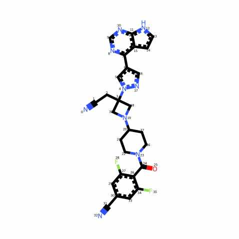 N#CCC1(n2cc(-c3ncnc4[nH]ccc34)cn2)CN(C2CCN(C(=O)c3c(F)cc(C#N)cc3F)CC2)C1